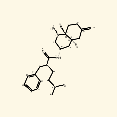 CCCN1C[C@@H](NC(=O)N(CCN(C)C)Cc2ccccc2)C[C@@H]2CC(=O)CC[C@H]21